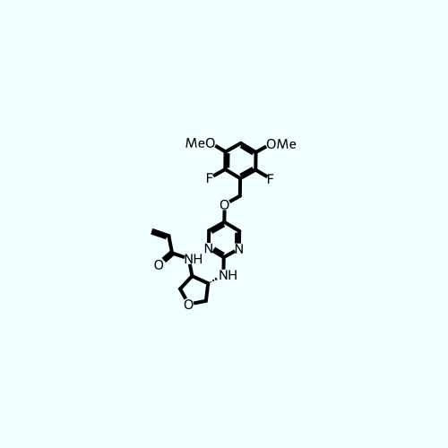 C=CC(=O)NC1COC[C@H]1Nc1ncc(OCc2c(F)c(OC)cc(OC)c2F)cn1